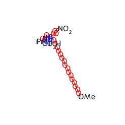 COCCOCCOCCOCCOCCOCCOCCOCCOCCOCCOCCOCCOCCOCCOCCOCCOCCc1cc(NC(=O)[C@H](C)NC(=O)[C@@H](NC(=O)O)C(C)C)ccc1COC(=O)Oc1ccc([N+](=O)[O-])cc1